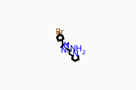 Cn1c(-c2ccc(Br)cc2)cnc1[C@@H](N)Cc1ccccn1